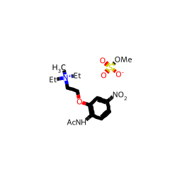 CC[N+](C)(CC)CCOc1cc([N+](=O)[O-])ccc1NC(C)=O.COS(=O)(=O)[O-]